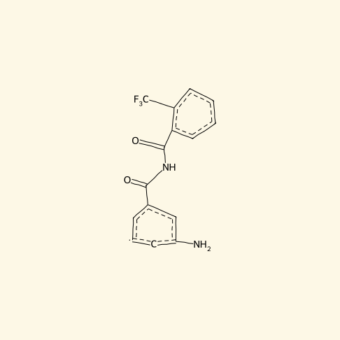 Nc1c[c]cc(C(=O)NC(=O)c2ccccc2C(F)(F)F)c1